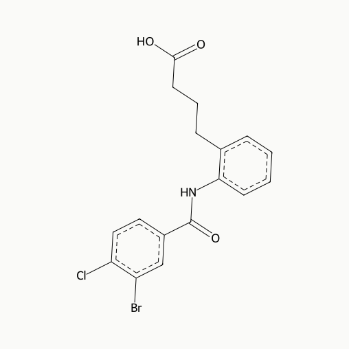 O=C(O)CCCc1ccccc1NC(=O)c1ccc(Cl)c(Br)c1